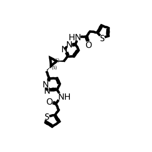 O=C(Cc1cccs1)Nc1ccc(C[C@@H]2C[C@H]2Cc2ccc(NC(=O)Cc3cccs3)nn2)nn1